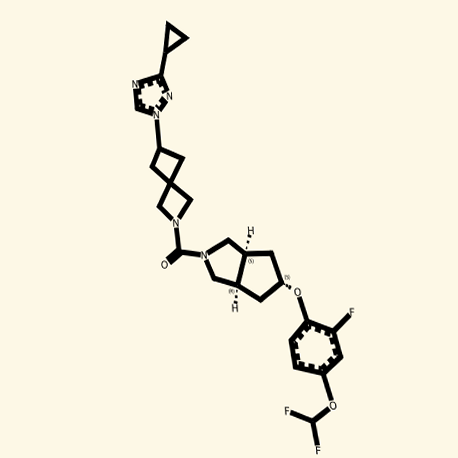 O=C(N1C[C@H]2C[C@H](Oc3ccc(OC(F)F)cc3F)C[C@H]2C1)N1CC2(CC(n3cnc(C4CC4)n3)C2)C1